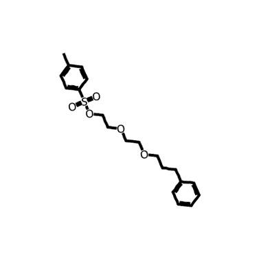 Cc1ccc(S(=O)(=O)OCCOCCOCCCc2ccccc2)cc1